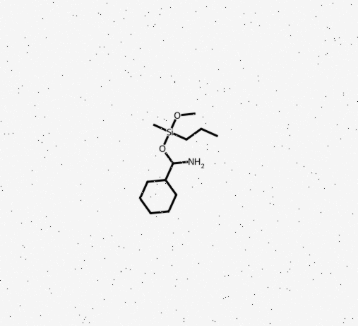 CCC[Si](C)(OC)OC(N)C1CCCCC1